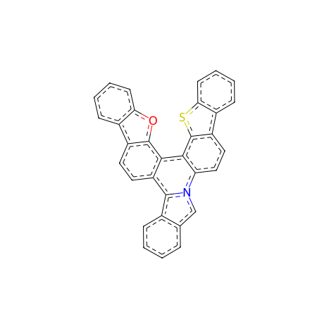 c1ccc2c(c1)cn1c3ccc4c5ccccc5sc4c3c3c(ccc4c5ccccc5oc43)c21